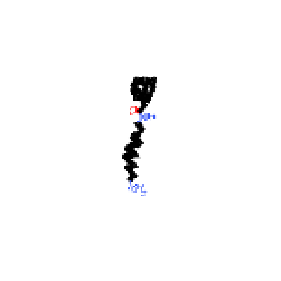 NCCCCCCCCCCCNC(=O)CC12CC3CC(CC(C3)C1)C2